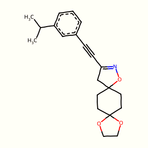 CC(C)c1cccc(C#CC2=NOC3(CCC4(CC3)OCCO4)C2)c1